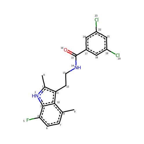 Cc1[nH]c2c(F)ccc(C)c2c1CCNC(=O)c1cc(Cl)cc(Cl)c1